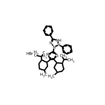 Br.CC1CCC(C(C)C)C(c2nc(N3N=C(c4ccccc4)NN3c3ccccc3)sc2C2CC(C)CCC2C(C)C)C1